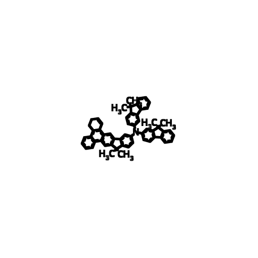 CC1(C)c2ccccc2-c2cc(N(c3ccc4c(c3)-c3cc5c6c(c7ccccc7c5cc3C4(C)C)CCC=C6)c3ccc4c(c3)C(C)(C)c3ccccc3-4)ccc21